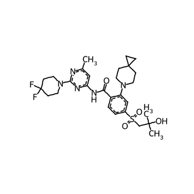 Cc1cc(NC(=O)c2ccc(S(=O)(=O)CC(C)(C)O)cc2N2CCC3(CC2)CC3)nc(N2CCC(F)(F)CC2)n1